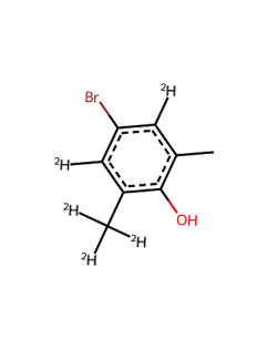 [2H]c1c(C)c(O)c(C([2H])([2H])[2H])c([2H])c1Br